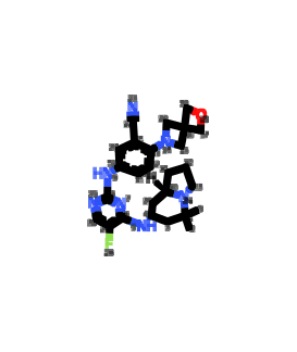 CC1(C)C[C@H](Nc2nc(Nc3ccc(N4CC5(COC5)C4)c(C#N)c3)ncc2F)C[C@@H]2CCCN21